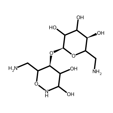 NCC1O[C@@H](O[C@@H]2C(CN)ONC(O)C2O)C(O)C(O)[C@H]1O